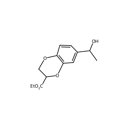 CCOC(=O)C1COc2ccc(C(C)O)cc2O1